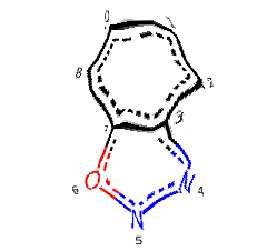 [c]1c[c]c2nnoc2c1